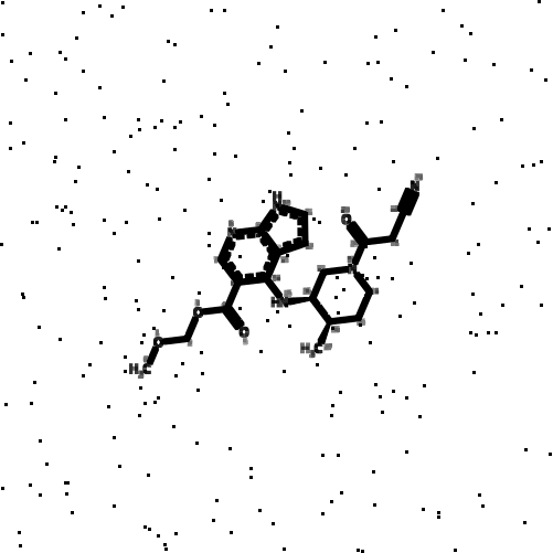 COCOC(=O)c1cnc2[nH]ccc2c1N[C@H]1CN(C(=O)CC#N)CC[C@H]1C